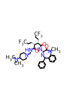 CN1C(=O)[C@@H](NC(=O)[C@@H](CCC(F)(F)F)[C@@H](CCC(F)(F)F)C(=O)NCN2CCC(N(C)C)CC2)N=C(c2ccccc2)c2ccccc21